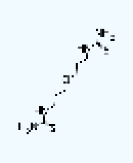 NC(=S)NCCCOCCCNC(N)=S